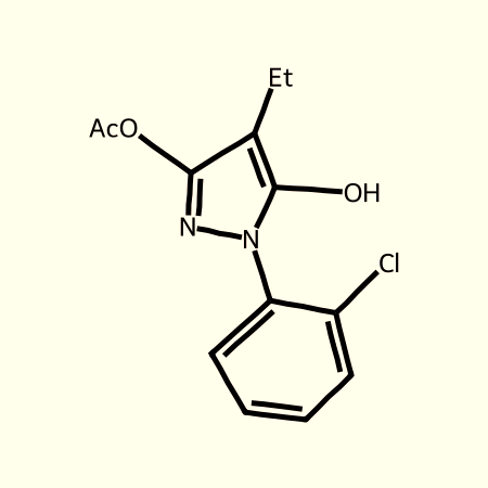 CCc1c(OC(C)=O)nn(-c2ccccc2Cl)c1O